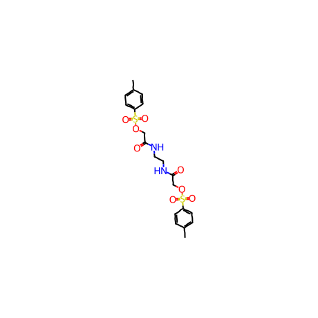 Cc1ccc(S(=O)(=O)OCC(=O)NCCNC(=O)COS(=O)(=O)c2ccc(C)cc2)cc1